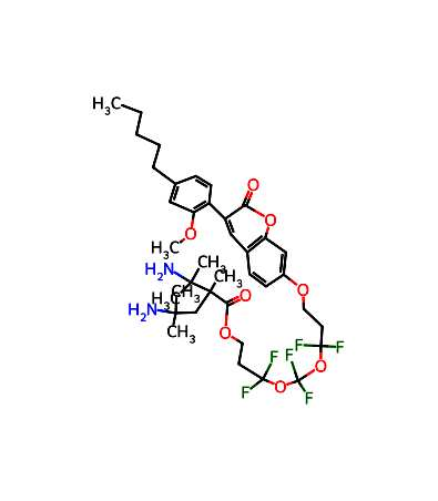 CCCCCc1ccc(-c2cc3ccc(OCCC(F)(F)OC(F)(F)OC(F)(F)CCOC(=O)C(C)(CC(C)(C)N)C(C)(C)N)cc3oc2=O)c(OC)c1